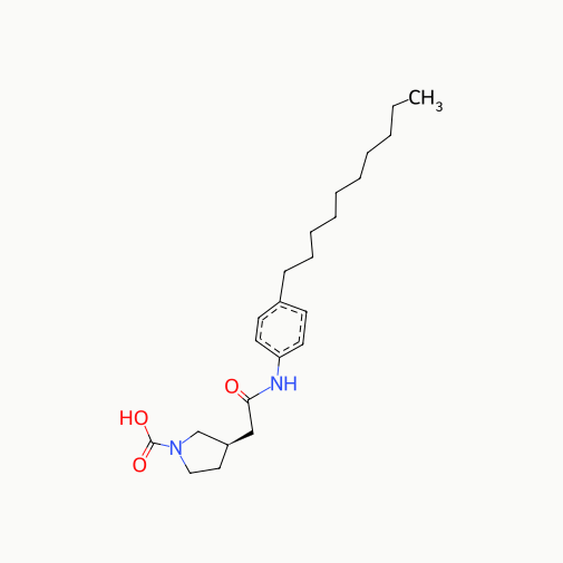 CCCCCCCCCCc1ccc(NC(=O)C[C@H]2CCN(C(=O)O)C2)cc1